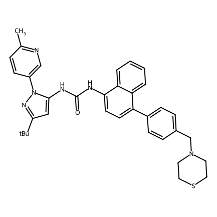 Cc1ccc(-n2nc(C(C)(C)C)cc2NC(=O)Nc2ccc(-c3ccc(CN4CCSCC4)cc3)c3ccccc23)cn1